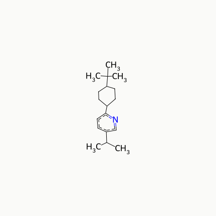 CC(C)c1ccc(C2CCC(C(C)(C)C)CC2)nc1